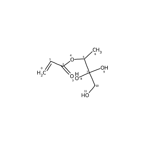 C=CC(=O)OC(C)C(O)(O)CO